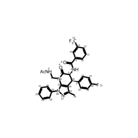 CC(=O)NCN1C(=O)[C@@H](NC(=O)c2cccc(C(F)(F)F)c2)[C@@H](c2ccc(F)cc2)c2c(C)nn(-c3ccccc3)c21